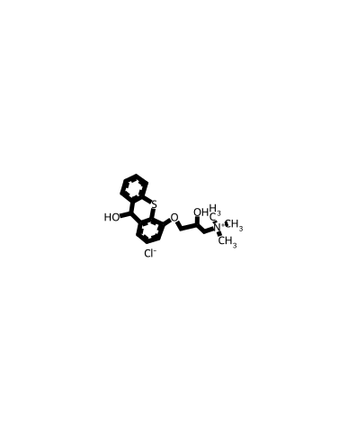 C[N+](C)(C)CC(O)COc1cccc2c1Sc1ccccc1C2O.[Cl-]